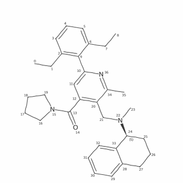 CCc1cccc(CC)c1-c1cc(C(=O)N2CCCC2)c(CN(C)[C@H]2CCCc3ccccc32)c(C)n1